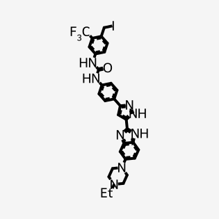 CCN1CCN(c2ccc3[nH]c(-c4cc(-c5ccc(NC(=O)Nc6ccc(CI)c(C(F)(F)F)c6)cc5)n[nH]4)nc3c2)CC1